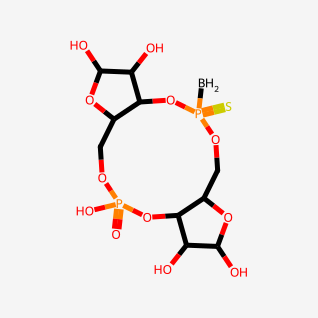 BP1(=S)OCC2OC(O)C(O)C2OP(=O)(O)OCC2OC(O)C(O)C2O1